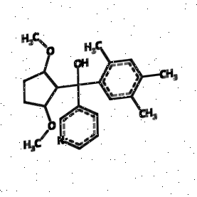 COC1CCC(OC)C1C(O)(c1cccnc1)c1cc(C)c(C)cc1C